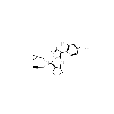 CC#CCN(CC1CC1)c1c2c(nc3c(-c4ccc(OC)cc4C)c(C)nn13)COC2